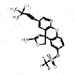 CC(C)(C)C#Cc1cnc2c(c1)C1(COC(N)=N1)c1cc(OS(=O)(=O)C(F)(F)F)ccc1O2